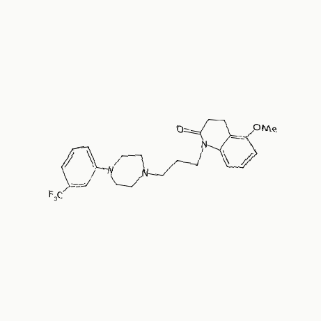 COc1cccc2c1CCC(=O)N2CCCN1CCN(c2cccc(C(F)(F)F)c2)CC1